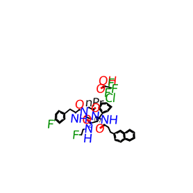 CCCC1C(=O)N([C@@](CC(=O)NCCF)(NC(=O)CCc2ccc3ccccc3c2)c2ccc(Cl)cc2)CCN1C(=O)C(N)Cc1ccc(F)cc1.O=C(O)C(F)(F)F